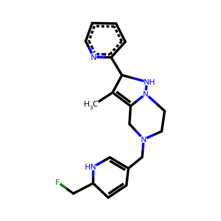 CC1=C2CN(CC3=CNC(CF)C=C3)CCN2NC1c1ccccn1